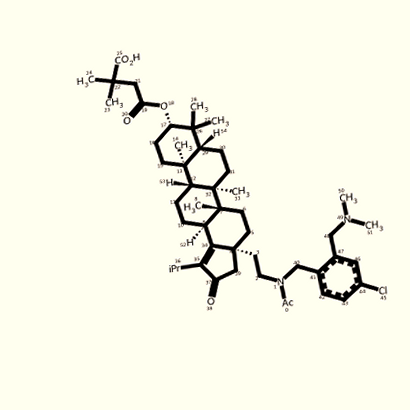 CC(=O)N(CC[C@@]12CC[C@]3(C)[C@H](CC[C@@H]4[C@@]5(C)CC[C@H](OC(=O)CC(C)(C)C(=O)O)C(C)(C)[C@@H]5CC[C@]43C)C1=C(C(C)C)C(=O)C2)Cc1ccc(Cl)cc1CN(C)C